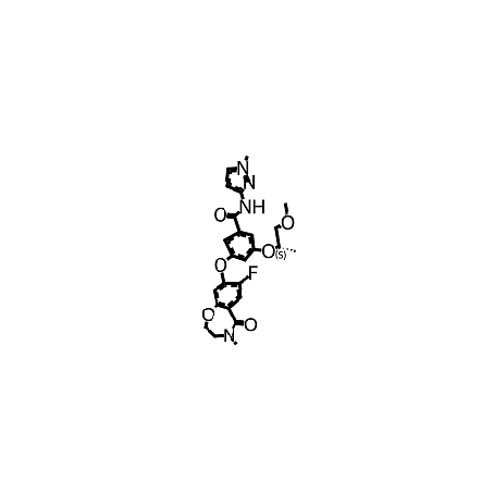 COC[C@H](C)Oc1cc(Oc2cc3c(cc2F)C(=O)N(C)CCO3)cc(C(=O)Nc2ccn(C)n2)c1